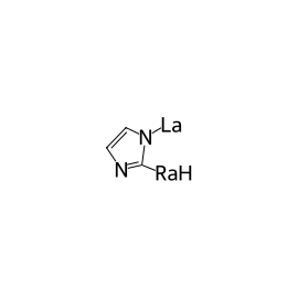 [La][n]1ccn[c]1[RaH]